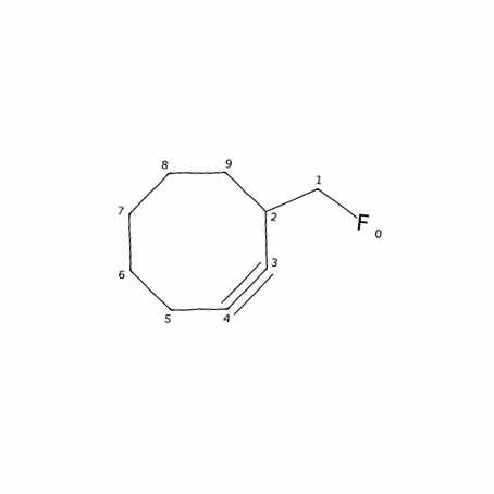 FCC1C#CCCCCC1